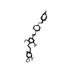 Cc1ccc(CC[C@H]2CC[C@H](CCc3cc(F)c(CCc4ccc(Cl)c(F)c4)c(F)c3)CC2)cc1